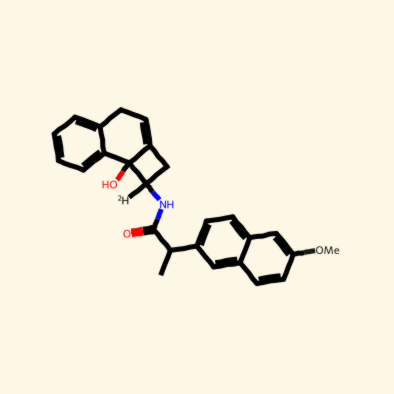 [2H]C1(NC(=O)C(C)c2ccc3cc(OC)ccc3c2)CC2=CCc3ccccc3C21O